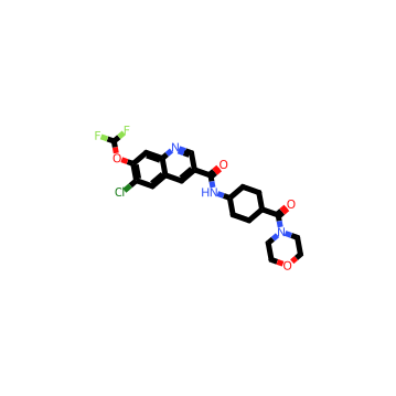 O=C(NC1CCC(C(=O)N2CCOCC2)CC1)c1cnc2cc(OC(F)F)c(Cl)cc2c1